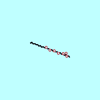 C=CCCCCCCCCCOCCOCCOCCOCCOCC(=O)OCC